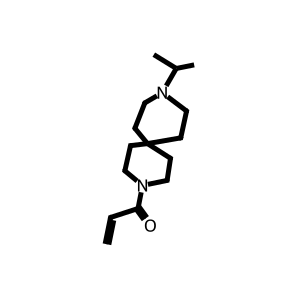 C=CC(=O)N1CCC2(CC1)CCN(C(C)C)CC2